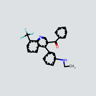 CCNc1cccc(-c2c(C(=O)c3ccccc3)cnc3c(C(F)(F)F)cccc23)c1